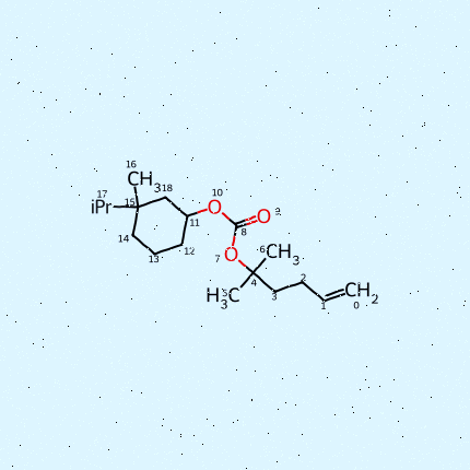 C=CCCC(C)(C)OC(=O)OC1CCCC(C)(C(C)C)C1